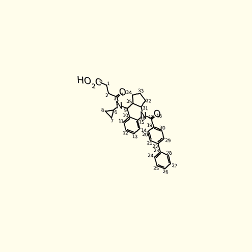 O=C(O)CCC(=O)N(C1CC1)C1c2ccccc2N(C(=O)c2ccc(-c3ccccc3)cc2)C2CCCC21